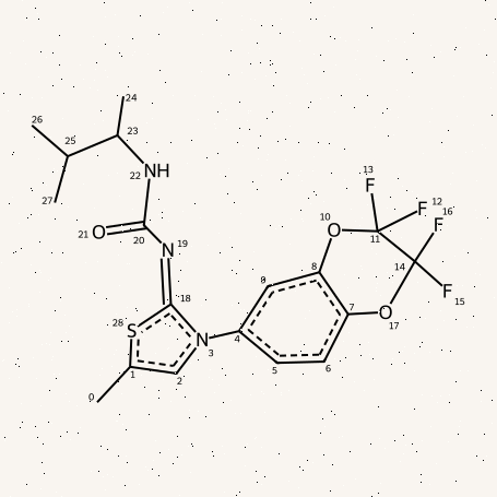 Cc1cn(-c2ccc3c(c2)OC(F)(F)C(F)(F)O3)c(=NC(=O)NC(C)C(C)C)s1